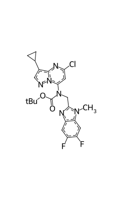 Cn1c(CN(C(=O)OC(C)(C)C)c2cc(Cl)nc3c(C4CC4)cnn23)nc2cc(F)c(F)cc21